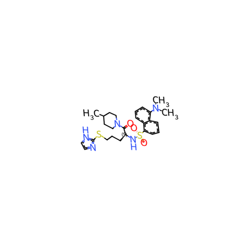 CC1CCN(C(=O)[C@H](CCCSc2ncc[nH]2)NS(=O)(=O)c2cccc3c(N(C)C)cccc23)CC1